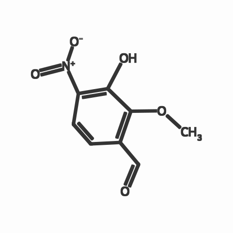 COc1c(C=O)ccc([N+](=O)[O-])c1O